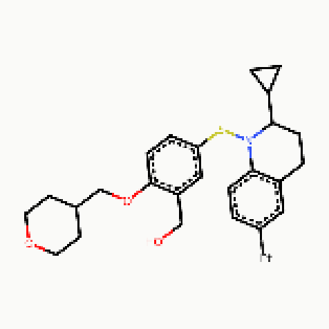 CCc1ccc2c(c1)CCC(C1CC1)N2Sc1ccc(OCC2CCOCC2)c(CO)c1